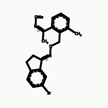 CO/N=C(/C)c1cccc(C)c1CO/N=C1\CCc2ccc(Br)cc21